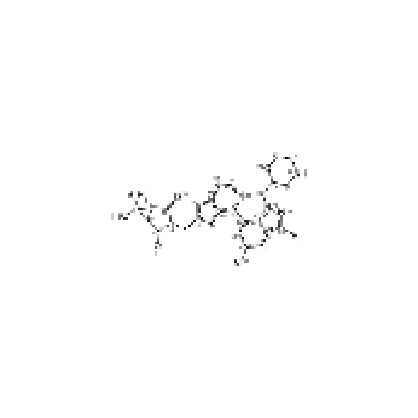 CC1(C)C2C(=O)N(Cc3cc4c(-c5cc(Cl)cc6c(F)nn(CC7CNCCO7)c56)ncnn4c3)C(=O)C21